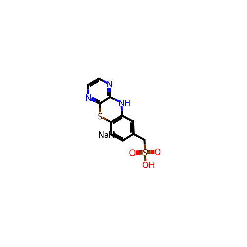 O=S(=O)(O)Cc1ccc2c(c1)Nc1nccnc1S2.[NaH]